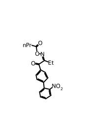 CCCC(=O)O/N=C(/CC)C(=O)c1ccc(-c2ccccc2[N+](=O)[O-])cc1